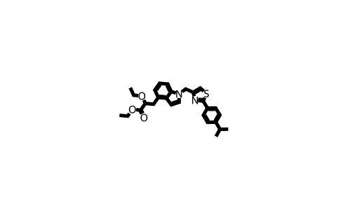 CCOC(=O)C(Cc1cccc2c1ccn2Cc1csc(-c2ccc(C(C)C)cc2)n1)OCC